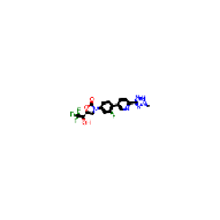 Cn1nnc(-c2ccc(-c3ccc(N4C[C@@H](C(O)C(F)(F)F)OC4=O)cc3F)cn2)n1